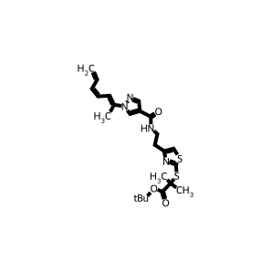 C=C/C=C\C=C(/C)n1cc(C(=O)NCCc2csc(SC(C)(C)C(=O)OC(C)(C)C)n2)cn1